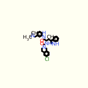 C[C@H](c1c[nH]c2ccccc12)[C@@H](NC(=O)N1CCc2cc(Cl)ccc2C1)C(=O)Nc1cccc(CN(C)C)c1